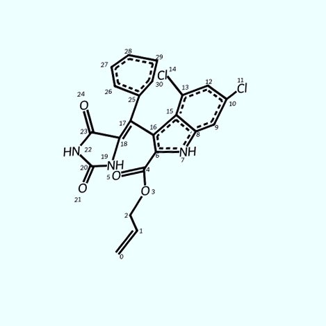 C=CCOC(=O)c1[nH]c2cc(Cl)cc(Cl)c2c1C(=C1NC(=O)NC1=O)c1ccccc1